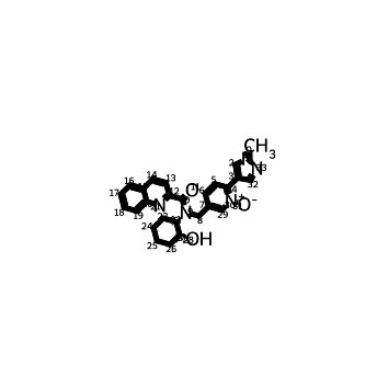 Cn1cc(-c2ccc(CN(C(=O)c3ccc4ccccc4n3)[C@H]3CCCC[C@@H]3O)c[n+]2[O-])cn1